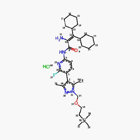 CCc1c(-c2ccc(NC(=O)C(N)=C(C3CCCCC3)C3CCCCC3)nc2F)c(C)nn1COCC[Si](C)(C)C.Cl